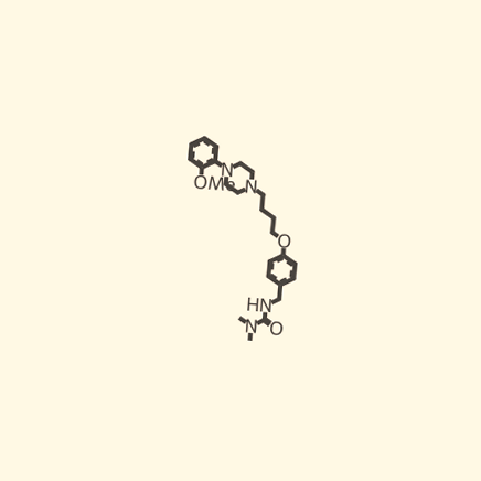 COc1ccccc1N1CCN(CCCCOc2ccc(CNC(=O)N(C)C)cc2)CC1